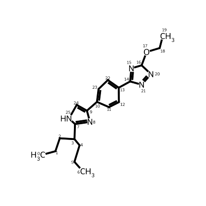 CCCC(CCC)c1nc(-c2ccc(C3=NC(OCC)N=N3)cc2)c[nH]1